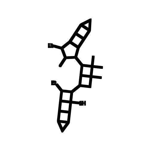 CCC1C(C)C(C2C3C(C4C(CC)C5C6C7CC7C6C45S)CC3(C)C2(C)C)C2C1C1C3CC3C12